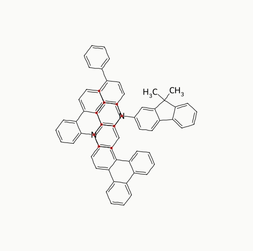 CC1(C)c2ccccc2-c2ccc(N(c3ccc(-c4ccccc4)cc3)c3ccccc3-c3ccccc3-c3ccccc3N(c3ccccc3)c3ccc4c5ccccc5c5ccccc5c4c3)cc21